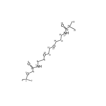 CC(C)OCC(=O)NCCOCCOCCCNC(=O)C(C)C